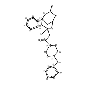 CC1CC2CC(C)(CC(=O)N3CCN(Cc4ccccc4)CC3)CC(c3ccccc3)(C1)C2